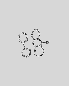 Brc1c2ccccc2cc2ccccc12.c1ccc(-c2ccccc2)cc1